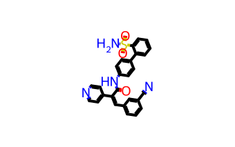 N#Cc1cccc(C=C(C(=O)Nc2ccc(-c3ccccc3S(N)(=O)=O)cc2)c2ccncc2)c1